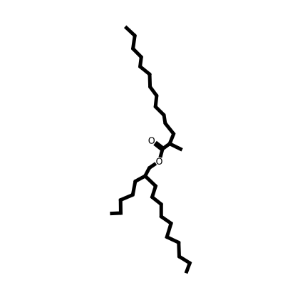 CCCCCCCCCCCCC(C)C(=O)OCC(CCCCC)CCCCCCCCCC